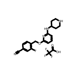 N#Cc1ccc(COc2cccc(NC3CCNCC3)n2)c(F)c1.O=C(O)C(F)(F)F